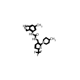 Cc1cc(NC(=O)NCc2ccc(C(F)(F)F)nc2N2CCC(C)CC2)c2cn[nH]c2c1